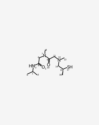 CC(C)NC(=O)CN(C)C(=O)CN(C)C[C@H](C)S